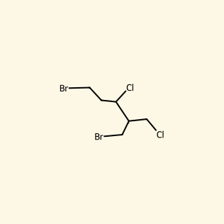 ClC[C](CBr)C(Cl)CCBr